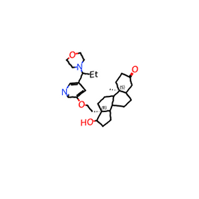 CCC(c1cncc(OCC[C@]23CCC4C(CCC5CC(=O)CC[C@@]54C)C2CCC3O)c1)N1CCOCC1